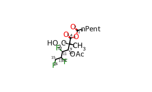 CCCCCC(=O)OC(=O)[C@@](C)(C(=O)O)[C@H](OC(C)=O)[C@H](F)C(F)CF